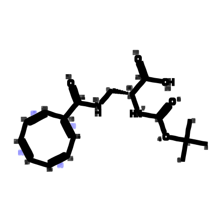 CC(C)(C)OC(=O)N[C@H](CNC(=O)C1=C/C=C\C=C/C=C\1)C(=O)O